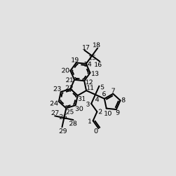 C=CCCC(C)(C1=CC=CC1)C1c2cc(C(C)(C)C)ccc2-c2ccc(C(C)(C)C)cc21